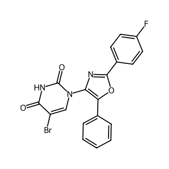 O=c1[nH]c(=O)n(-c2nc(-c3ccc(F)cc3)oc2-c2ccccc2)cc1Br